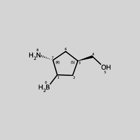 BC1C[C@H](CO)C[C@H]1N